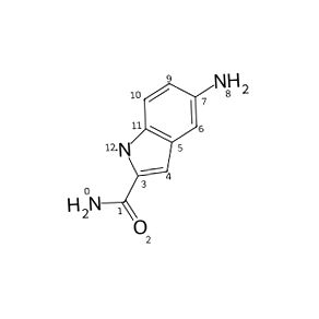 NC(=O)C1=Cc2cc(N)ccc2[N]1